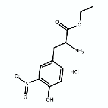 CCOC(=O)C(N)Cc1ccc(O)c([N+](=O)[O-])c1.Cl